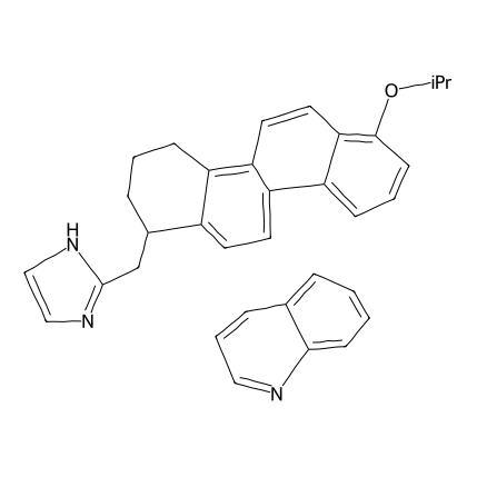 CC(C)Oc1cccc2c1ccc1c3c(ccc12)C(Cc1ncc[nH]1)CCC3.c1ccc2ncccc2c1